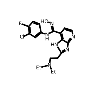 CCN(CC)CCc1nc2nccc(/C(=N/O)Nc3ccc(F)c(Cl)c3)c2[nH]1